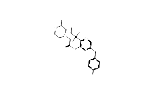 CCC(C)(C)c1ncc(Cc2ccc(F)cc2)cc1NC(=O)CN1CCNC(C)C1